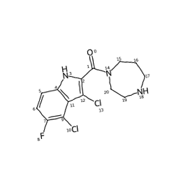 O=C(c1[nH]c2ccc(F)c(Cl)c2c1Cl)N1CCCNCC1